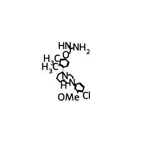 COc1cc(N2CCN3[C@@H](CCC[C@@H]3c3ccc(OCC(=N)N)c(C)c3C)C2)ccc1Cl